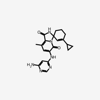 Cc1cc(Nc2cc(N)ncn2)c(=O)n2c1C(=O)NC21C=C(C2CC2)CCC1